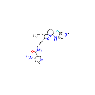 Cc1cc(N)c(C(=O)NCC#Cc2nn3c(N[C@@H]4CCN(C)C[C@@H]4F)cccc3c2CC(F)(F)F)cn1